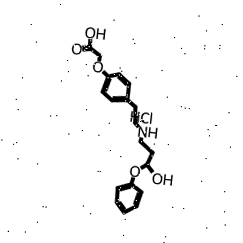 Cl.O=C(O)COc1ccc(CCNCCC(O)Oc2ccccc2)cc1